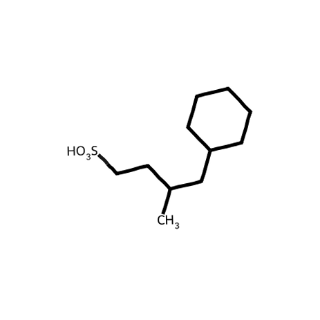 CC(CCS(=O)(=O)O)CC1CCCCC1